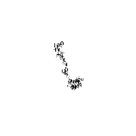 CC(C)(C)n1nc(-c2noc(C3CC3)c2-c2ncc(C3CC4(C3)CN(C(=O)OCCN3CCC(N5CCN(c6c(F)cc(N[C@@H]7CCC(=O)NC7=O)cc6F)CC5)CC3)C4)cn2)c2c(N)ncnc21